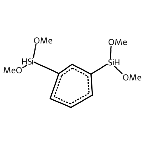 CO[SiH](OC)c1cccc([SiH](OC)OC)c1